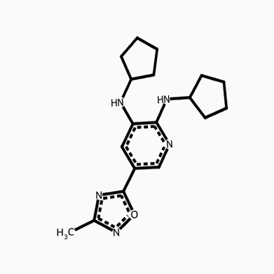 Cc1noc(-c2cnc(NC3CCCC3)c(NC3CCCC3)c2)n1